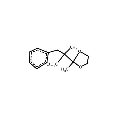 CCOC(=O)C(C)(Cc1ccccc1)C1(C)OCCO1